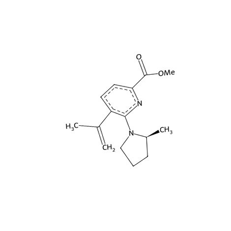 C=C(C)c1ccc(C(=O)OC)nc1N1CCC[C@@H]1C